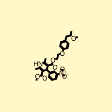 COC(=O)C1=C(C)NC(C)=C(C(=O)OCCOc2ccc(CC(C)OC)cc2)C1c1cccc([N+](=O)[O-])c1